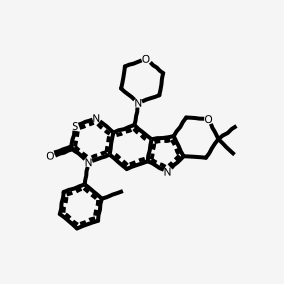 Cc1ccccc1-n1c(=O)snc2c(N3CCOCC3)c3c4c(nc3cc21)CC(C)(C)OC4